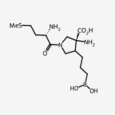 CSCC[C@H](N)C(=O)N1CC(CCCB(O)O)[C@](N)(C(=O)O)C1